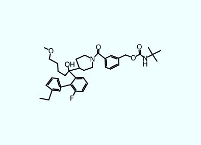 CCc1cccc(-c2c(F)cccc2C(O)(CCCCOC)C2CCN(C(=O)c3cccc(COC(=O)NC(C)(C)C)c3)CC2)c1